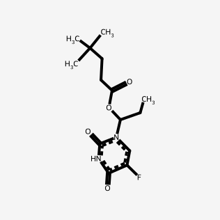 CCC(OC(=O)CCC(C)(C)C)n1cc(F)c(=O)[nH]c1=O